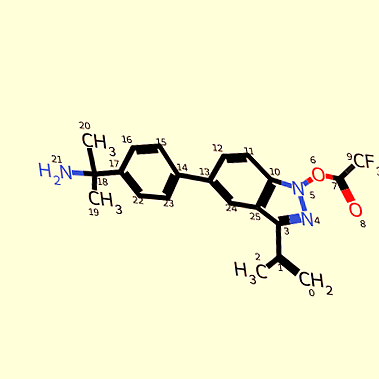 C=C(C)c1nn(OC(=O)C(F)(F)F)c2ccc(-c3ccc(C(C)(C)N)cc3)cc12